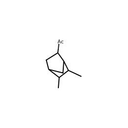 CC(=O)C1CC2CC1C(C)C2C